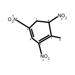 CC1=C([N+](=O)[O-])C=C([N+](=O)[O-])CC1[N+](=O)[O-]